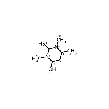 CC1CC(O)N(C)C(S)N1C